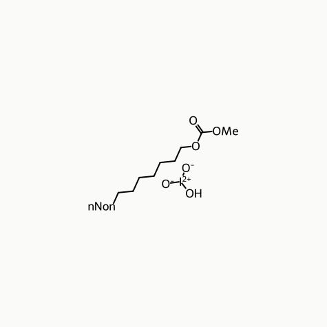 CCCCCCCCCCCCCCCCOC(=O)OC.[O-][I+2]([O-])O